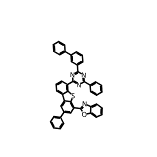 c1ccc(-c2cccc(-c3nc(-c4ccccc4)nc(-c4cccc5c4sc4c(-c6nc7ccccc7o6)cc(-c6ccccc6)cc45)n3)c2)cc1